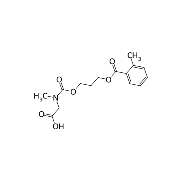 Cc1ccccc1C(=O)OCCCOC(=O)N(C)CC(=O)O